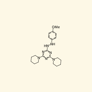 COc1ccc(NNc2nc(N3CCCCC3)nc(N3CCCCC3)n2)cc1